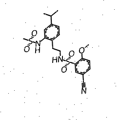 COc1ccc(C#N)cc1S(=O)(=O)NCCc1ccc(C(C)C)cc1NS(C)(=O)=O